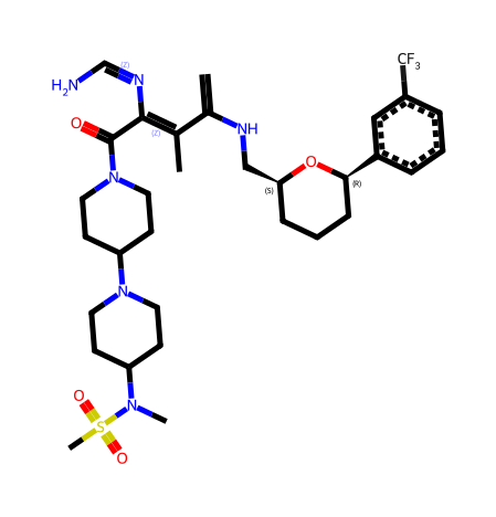 C=C(NC[C@@H]1CCC[C@H](c2cccc(C(F)(F)F)c2)O1)/C(C)=C(\N=C/N)C(=O)N1CCC(N2CCC(N(C)S(C)(=O)=O)CC2)CC1